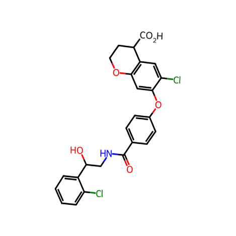 O=C(NCC(O)c1ccccc1Cl)c1ccc(Oc2cc3c(cc2Cl)C(C(=O)O)CCO3)cc1